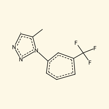 Cc1[c]nnn1-c1cccc(C(F)(F)F)c1